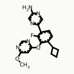 COc1cc(Oc2c(C3CCC3)ccc(-c3cnc(N)cn3)c2F)ncn1